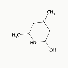 CC1CN(C)CC(O)N1